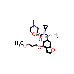 COCCCOc1cc([C@@H](C)N(C(=O)[C@H]2CNCCO2)C2CC2)cc2occc12